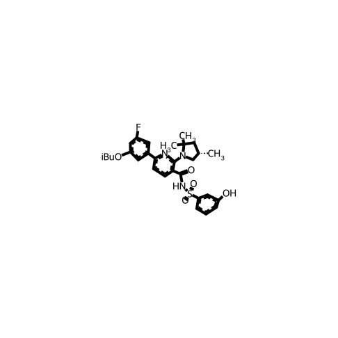 CC(C)COc1cc(F)cc(-c2ccc(C(=O)NS(=O)(=O)c3cccc(O)c3)c(N3C[C@@H](C)CC3(C)C)n2)c1